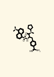 CN(C)c1cccc2c(S(=O)(=O)NC(Cc3ccc(C(=N)N)cc3)C(=O)N(C)C3CCCC3)cccc12